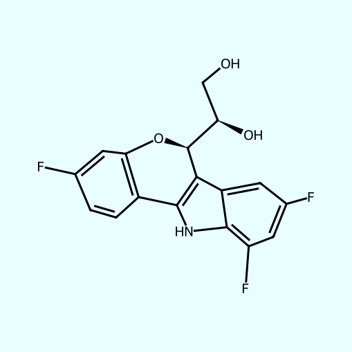 OC[C@@H](O)[C@@H]1Oc2cc(F)ccc2-c2[nH]c3c(F)cc(F)cc3c21